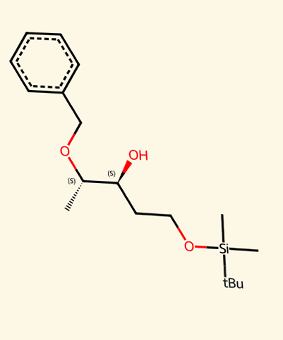 C[C@H](OCc1ccccc1)[C@@H](O)CCO[Si](C)(C)C(C)(C)C